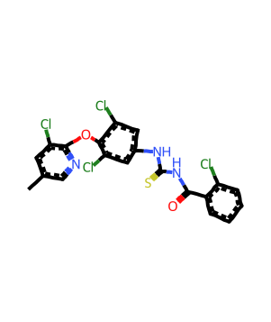 Cc1cnc(Oc2c(Cl)cc(NC(=S)NC(=O)c3ccccc3Cl)cc2Cl)c(Cl)c1